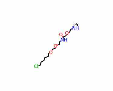 CC(C)NCCOCC(=O)NCCOCCOCCCCCCCl